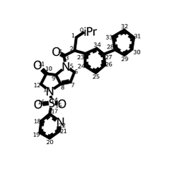 CC(C)CC(C(=O)N1CC=C2C1C(=O)CN2S(=O)(=O)c1ccccn1)c1cccc(-c2ccccc2)c1